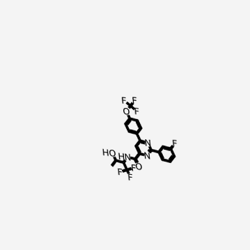 CC(O)C(NC(=O)c1cc(-c2ccc(OC(F)(F)F)cc2)nc(-c2cccc(F)c2)n1)C(F)(F)F